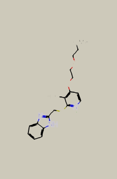 COCCOCCOc1ccnc(SCc2nc3ccccc3[nH]2)c1C.Cl